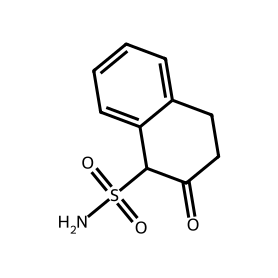 NS(=O)(=O)C1C(=O)CCc2ccccc21